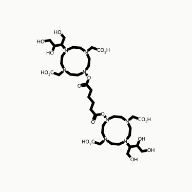 O=C(O)CN1CCN(OC(=O)CCCCC(=O)ON2CCN(CC(=O)O)CCN(C(CO)C(O)CO)CCN(CC(=O)O)CC2)CCN(CC(=O)O)CCN(C(CO)C(O)CO)CC1